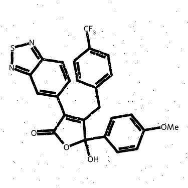 COc1ccc(C2(O)OC(=O)C(c3ccc4nsnc4c3)=C2Cc2ccc(C(F)(F)F)cc2)cc1